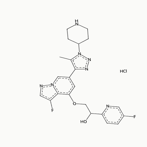 Cc1c(-c2cc(OCC(O)c3ccc(F)cn3)c3c(F)cnn3c2)nnn1C1CCNCC1.Cl